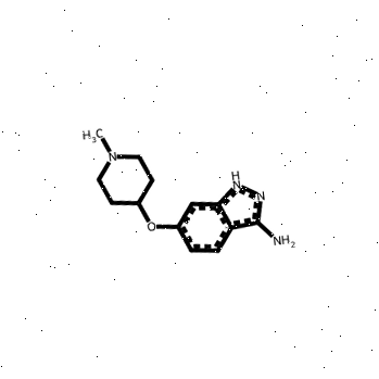 CN1CCC(Oc2ccc3c(N)n[nH]c3c2)CC1